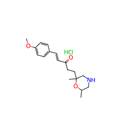 COc1ccc(C=CC(=O)CCC2(C)CNCC(C)O2)cc1.Cl